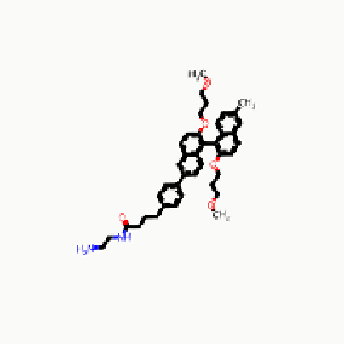 COCCCOc1ccc2cc(C)ccc2c1-c1c(OCCCOC)ccc2cc(-c3ccc(CCCC(=O)NCCN)cc3)ccc12